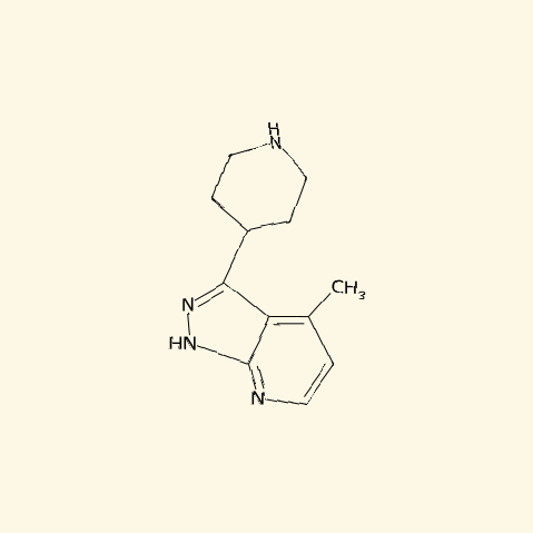 Cc1ccnc2[nH]nc(C3CCNCC3)c12